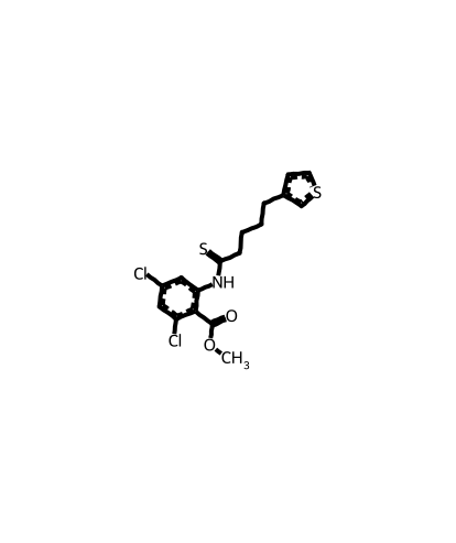 COC(=O)c1c(Cl)cc(Cl)cc1NC(=S)CCCCc1ccsc1